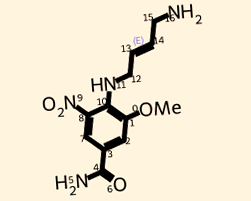 COc1cc(C(N)=O)cc([N+](=O)[O-])c1NC/C=C/CN